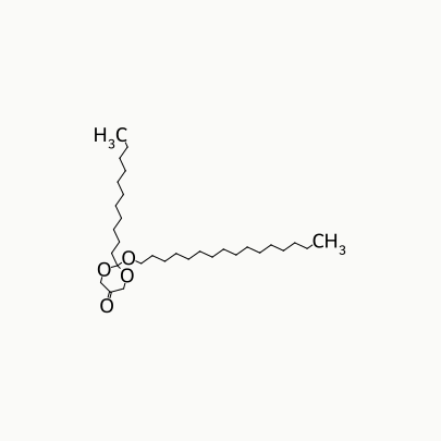 CCCCCCCCCCCCCCCCOC1(CCCCCCCCCCC)OCC(=O)CO1